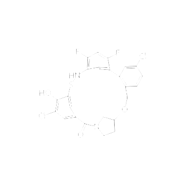 O=C1c2cc(Cl)c(O)c(c2)SNc2cc(c(F)cc2F)-c2cc(Cl)ccc2COC2CCN1C2